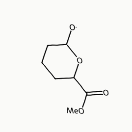 COC(=O)C1CCCC([O])O1